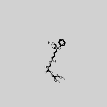 CCP(=S)(CCCCNSCNC(=O)ON=C(C)SC)Oc1ccccc1